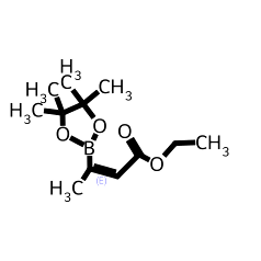 CCOC(=O)/C=C(/C)B1OC(C)(C)C(C)(C)O1